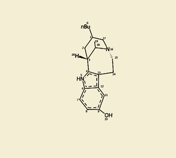 CCCCC1C[C@H]2c3[nH]c4ccc(O)cc4c3CC[N@@](C1)C2C